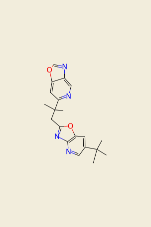 CC(C)(C)c1cnc2nc(CC(C)(C)c3cc4ocnc4cn3)oc2c1